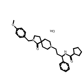 COc1ccc(CN2CCC3(CCN(CCC(NC(=O)C4CCCC4)c4ccccc4)CC3)C2=O)cc1.Cl